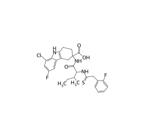 CCC(C)C(NC(=S)Cc1ccccc1F)C(=O)NC1(C(=O)O)CCc2[nH]c3c(Cl)cc(F)cc3c2C1